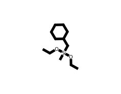 CCO[Si](C)([CH]C1CCCCC1)OCC